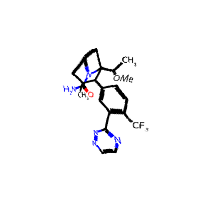 COC(C)C12CC(CC(C)C1c1ccc(C(F)(F)F)c(-c3nccnn3)c1)N2C(N)=O